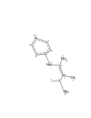 CC([N+](C#N)=C(N)Nc1ccncc1)C(C)(C)C